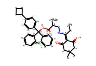 CNC(CNC(CC(C)C)=C1C(=O)CC(C)(C)CC1=O)C(=O)OC(c1ccccc1)(c1ccc(C2CCC2)cc1)c1ccccc1Cl